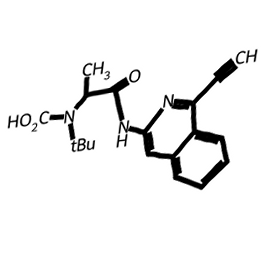 C#Cc1nc(NC(=O)C(C)N(C(=O)O)C(C)(C)C)cc2ccccc12